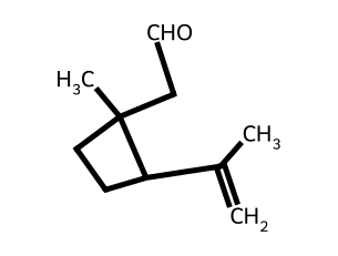 C=C(C)C1CCC1(C)CC=O